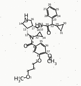 COCCCOc1cc(C(=O)N(C[C@@H]2CNC[C@H]2CNC(=O)C(c2ccccc2)C2CC2)C2CC2)ccc1OC